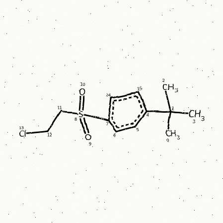 CC(C)(C)c1ccc(S(=O)(=O)CCCl)cc1